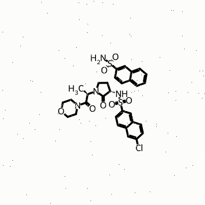 C[C@H](C(=O)N1CCOCC1)N1CC[C@H](NS(=O)(=O)c2ccc3cc(Cl)ccc3c2)C1=O.NS(=O)(=O)c1ccc2ccccc2c1